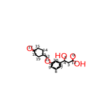 O=C(O)CC(O)c1cccc(OCC2CCC(=O)CC2)c1